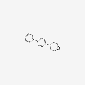 c1ccc(-c2ccc(C3CCOCC3)cc2)cc1